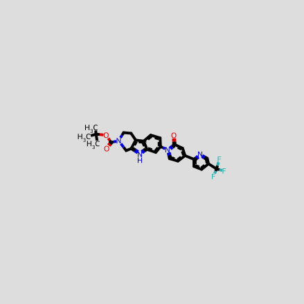 CC(C)(C)OC(=O)N1CCc2c([nH]c3cc(-n4ccc(-c5ccc(C(F)(F)F)cn5)cc4=O)ccc23)C1